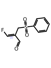 O=C/C(=C/F)CS(=O)(=O)c1ccccc1